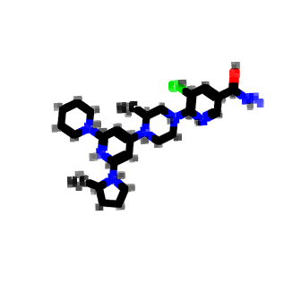 CC1CN(c2ncc(C(N)=O)cc2Cl)CCN1c1cc(N2CCCCC2)nc(N2CCCC2C)c1